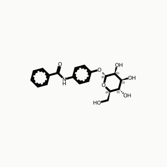 O=C(Nc1ccc(O[C@H]2O[C@H](CO)[C@@H](O)[C@H](O)[C@@H]2O)cc1)c1ccccc1